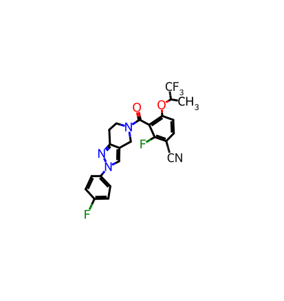 CC(Oc1ccc(C#N)c(F)c1C(=O)N1CCc2nn(-c3ccc(F)cc3)cc2C1)C(F)(F)F